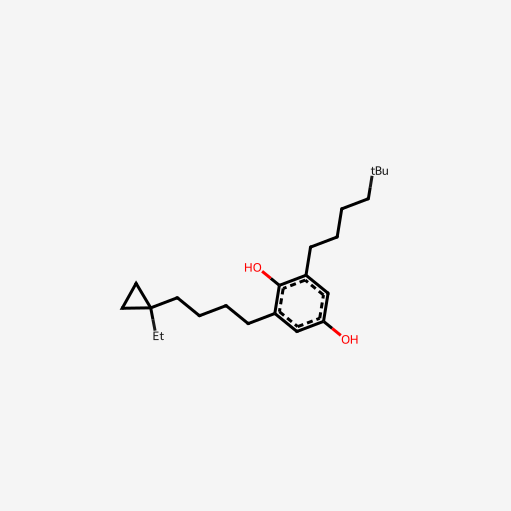 CCC1(CCCCc2cc(O)cc(CCCCC(C)(C)C)c2O)CC1